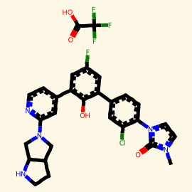 Cn1ccn(-c2ccc(-c3cc(F)cc(-c4ccnc(N5CC6CCNC6C5)c4)c3O)cc2Cl)c1=O.O=C(O)C(F)(F)F